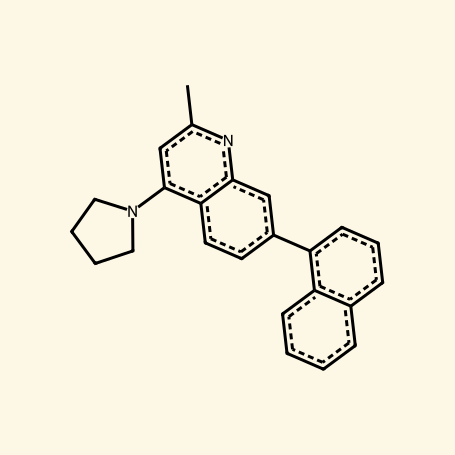 Cc1cc(N2CCCC2)c2ccc(-c3cccc4ccccc34)cc2n1